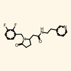 O=C(CC1CCC(=O)N1Cc1cccc(F)c1F)NCCc1cccnc1